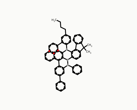 CCCCc1ccc(N2c3cc4ccccc4c4c3B(c3ccc5c(c32)-c2ccccc2C5(C)C)N(c2ccccc2)c2cc(-c3ccccc3)ccc2-4)c(-c2ccccc2)c1